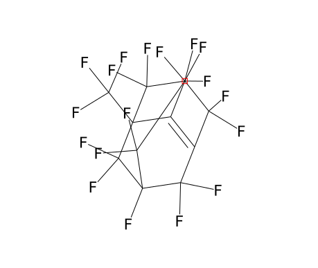 FC(F)(F)C1=C2C(F)(F)C3(F)C(F)(F)C(F)(C2(F)F)C(F)(F)C1(C(F)(F)F)C3(F)F